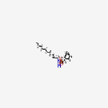 CCCCCCCCCCCNS(=O)(=O)Cc1ccccc1